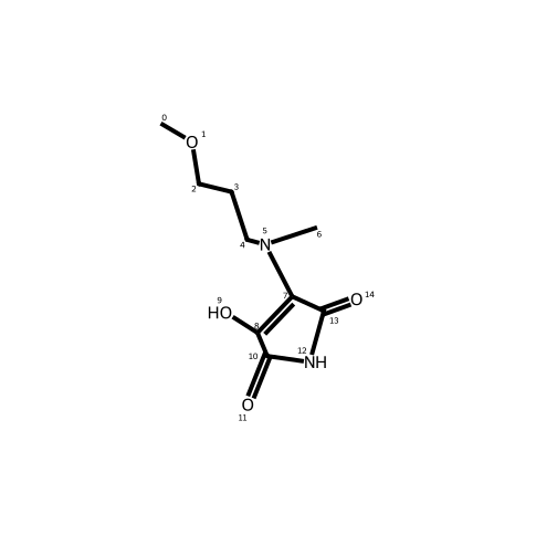 COCCCN(C)C1=C(O)C(=O)NC1=O